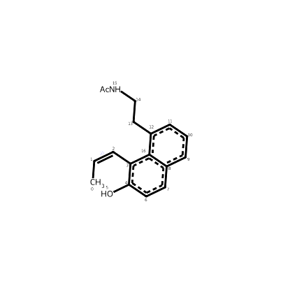 C/C=C\c1c(O)ccc2cccc(CCNC(C)=O)c12